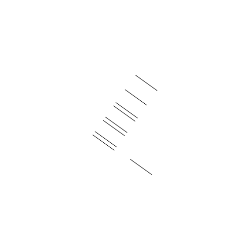 C=C.C=C.C=C.CC.CC.CC